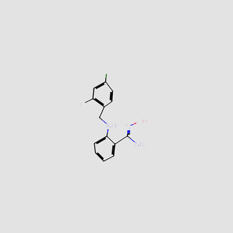 NC(=NO)c1ccccc1NCc1ccc(F)cc1C(F)(F)F